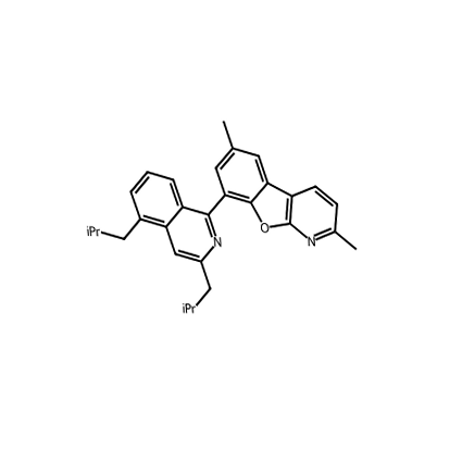 Cc1cc(-c2nc(CC(C)C)cc3c(CC(C)C)cccc23)c2oc3nc(C)ccc3c2c1